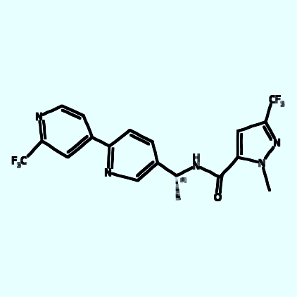 C[C@@H](NC(=O)c1cc(C(F)(F)F)nn1C)c1ccc(-c2ccnc(C(F)(F)F)c2)nc1